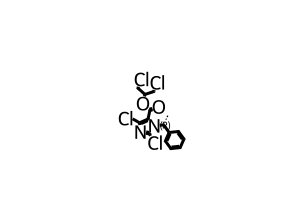 C[C@H](c1ccccc1)n1c(Cl)nc(Cl)c1C(=O)OC(CCl)CCl